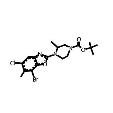 Cc1c(Cl)cc2nc(N3CCN(C(=O)OC(C)(C)C)CC3C)oc2c1Br